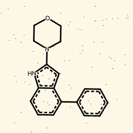 [c]1c(N2CCOCC2)[nH]c2cccc(-c3ccccc3)c12